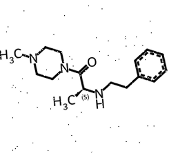 C[C@H](NCCc1ccccc1)C(=O)N1CCN(C)CC1